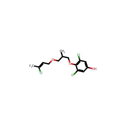 CC(COCC=C(Cl)C(F)(F)F)COc1c(Cl)cc(O)cc1Cl